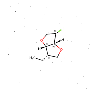 CC[C@H]1CO[C@@H]2[C@H]1OC[C@H]2F